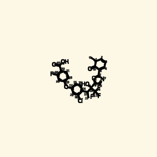 CC1C=CC=C(c2ncc(C(O)(C(C)c3ccc(Oc4ccc(C(=O)O)c(F)c4)cc3Cl)C(F)(F)F)o2)C1=O